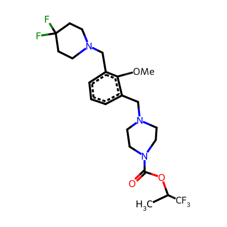 COc1c(CN2CCN(C(=O)OC(C)C(F)(F)F)CC2)cccc1CN1CCC(F)(F)CC1